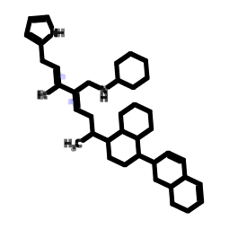 CCC(=C\Cc1ccc[nH]1)/C(=C/CC(C)C1CCC(C2C=CC3C=CCCC3C2)C2CCCCC12)CNC1CCCCC1